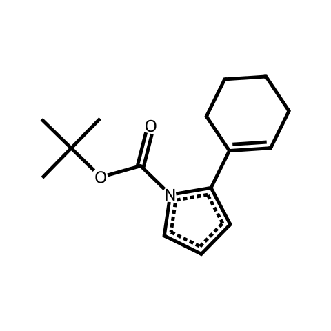 CC(C)(C)OC(=O)n1cccc1C1=CCCCC1